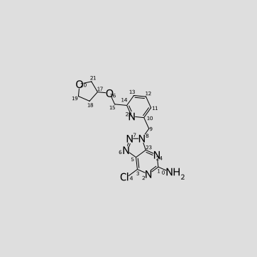 Nc1nc(Cl)c2nnn(Cc3cccc(COC4CCOC4)n3)c2n1